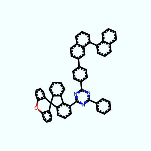 c1ccc(-c2nc(-c3ccc(-c4ccc5cccc(-c6cccc7ccccc67)c5c4)cc3)nc(-c3cccc4c3-c3ccccc3C43c4ccccc4Oc4ccccc43)n2)cc1